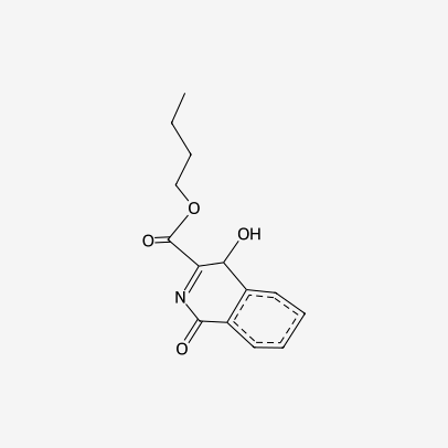 CCCCOC(=O)C1=NC(=O)c2ccccc2C1O